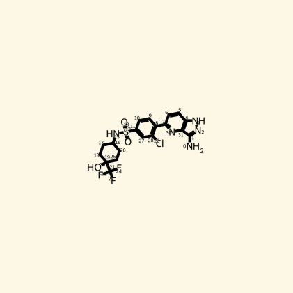 Nc1n[nH]c2ccc(-c3ccc(S(=O)(=O)NC4CCC(O)(C(F)(F)F)CC4)cc3Cl)nc12